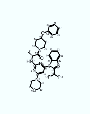 C[C@H](Nc1nc(N2CCOCC2)cc(-n2c(C(F)F)nc3ccccc32)n1)C(=O)N1CCC(Oc2ccccc2)CC1